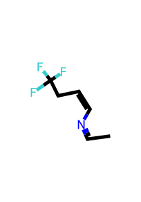 C/C=N\C=C/CC(F)(F)F